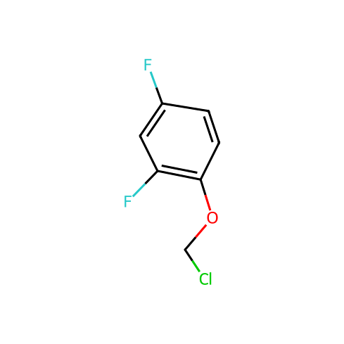 Fc1ccc(OCCl)c(F)c1